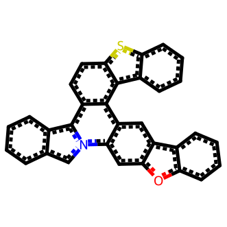 c1ccc2c(c1)cn1c3cc4oc5ccccc5c4cc3c3c(ccc4sc5ccccc5c43)c21